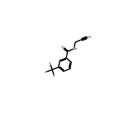 C#CCNC(=O)c1cccc(C(F)(F)F)c1